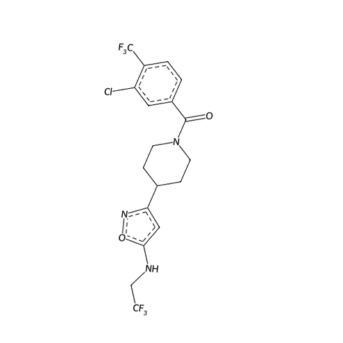 O=C(c1ccc(C(F)(F)F)c(Cl)c1)N1CCC(c2cc(NCC(F)(F)F)on2)CC1